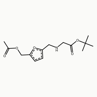 CC(=O)OCc1ccc(CNCC(=O)OC(C)(C)C)o1